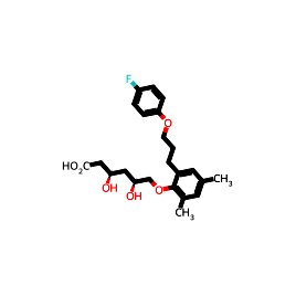 Cc1cc(C)c(OC[C@@H](O)C[C@@H](O)CC(=O)O)c(CCCOc2ccc(F)cc2)c1